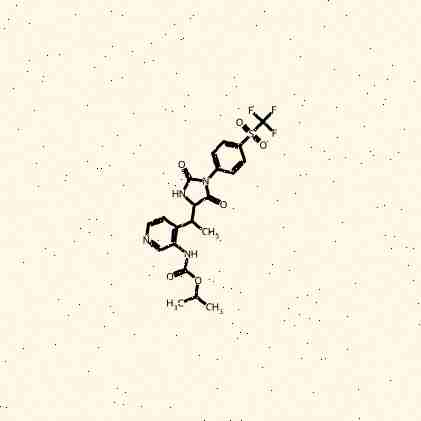 CC(C)OC(=O)Nc1cnccc1C(C)C1NC(=O)N(c2ccc(S(=O)(=O)C(F)(F)F)cc2)C1=O